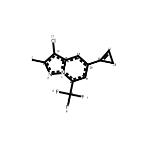 Cc1nn2c(C(F)(F)F)cc(C3=CC3)cc2c1Cl